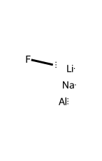 [Al].[C]F.[Li].[Na]